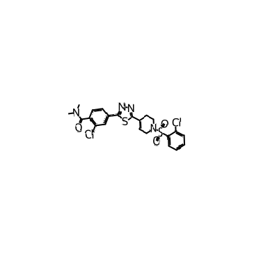 CN(C)C(=O)c1ccc(-c2nnc(C3=CCN(S(=O)(=O)c4ccccc4Cl)CC3)s2)cc1Cl